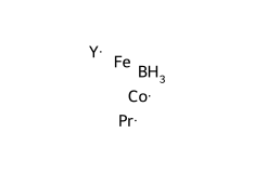 B.[Co].[Fe].[Pr].[Y]